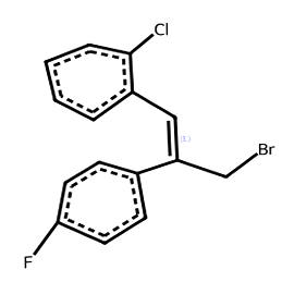 Fc1ccc(/C(=C\c2ccccc2Cl)CBr)cc1